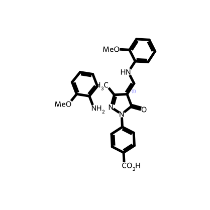 COc1ccccc1N.COc1ccccc1N/C=C1/C(=O)N(c2ccc(C(=O)O)cc2)N=C1C